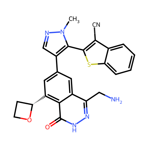 Cn1ncc(-c2cc([C@H]3CCO3)c3c(=O)[nH]nc(CN)c3c2)c1-c1sc2ccccc2c1C#N